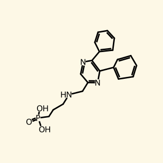 O=P(O)(O)CCCNCc1cnc(-c2ccccc2)c(-c2ccccc2)n1